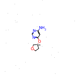 Nc1cc(O[C@@H]2CCOC2)ncn1